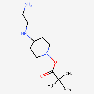 CC(C)(C)C(=O)ON1CCC(NCCN)CC1